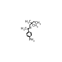 CCC(C)(C)C/N=C(\C)c1ccc(P)cc1